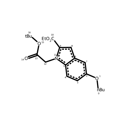 CCCCOc1ccc2c(c1)cc(C(=O)OCC)n2CC(=O)OC(C)(C)C